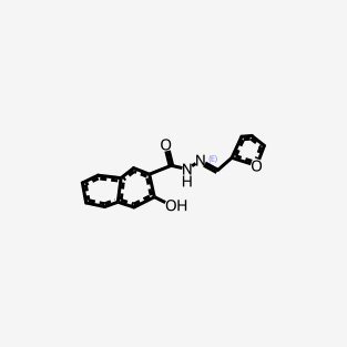 O=C(N/N=C/c1ccco1)c1cc2ccccc2cc1O